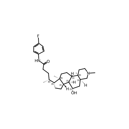 C[C@H](CCC(=O)Nc1ccc(F)cc1)[C@H]1CC[C@H]2[C@@H]3[C@@H](O)C[C@@H]4CN(C)CC[C@]4(C)[C@H]3CC[C@]12C